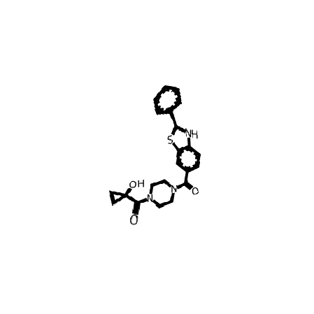 O=C(c1ccc2c(c1)SC(c1ccccc1)N2)N1CCN(C(=O)C2(O)CC2)CC1